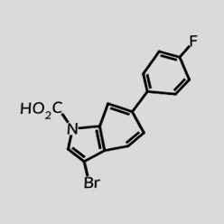 O=C(O)n1cc(Br)c2ccc(-c3ccc(F)cc3)cc21